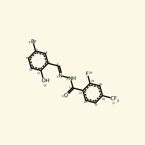 O=C(NN=Cc1cc(Br)ccc1O)c1ccc(C(F)(F)F)cc1F